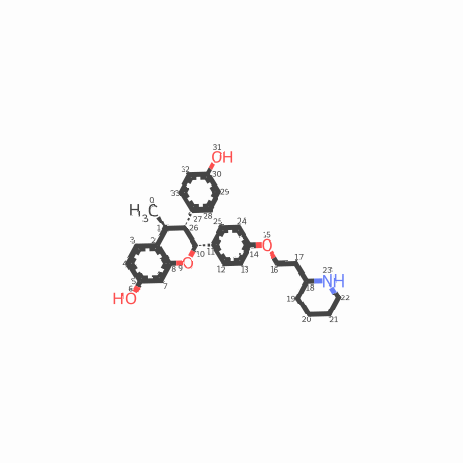 C[C@@H]1c2ccc(O)cc2O[C@@H](c2ccc(OCCC3CCCCN3)cc2)[C@H]1c1ccc(O)cc1